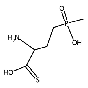 CP(=O)(O)CCC(N)C(O)=S